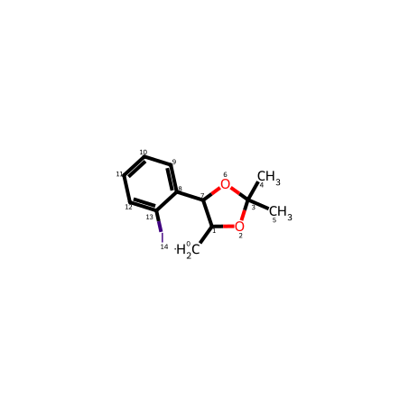 [CH2]C1OC(C)(C)OC1c1ccccc1I